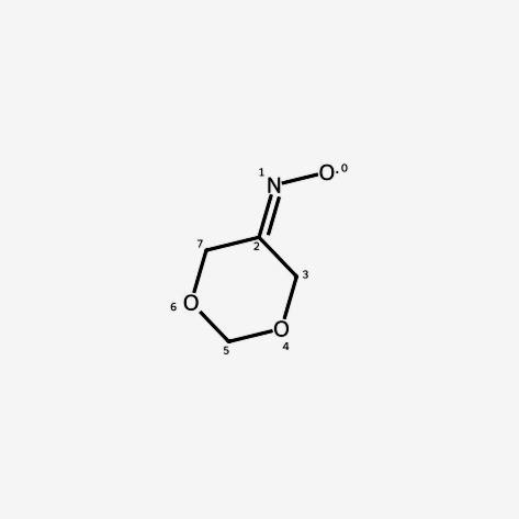 [O]N=C1COCOC1